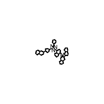 c1ccc(-c2nc(-c3ccc(-c4ccc5ccccc5c4)cc3)nc(-c3ccc(-n4c5cc6ccccc6cc5c5ccc6ccccc6c54)c4ccccc34)n2)cc1